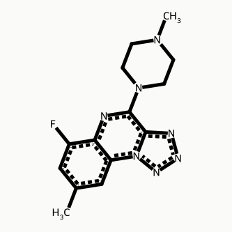 Cc1cc(F)c2nc(N3CCN(C)CC3)c3nnnn3c2c1